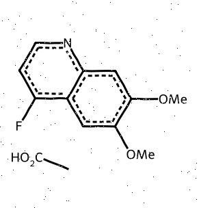 CC(=O)O.COc1cc2nccc(F)c2cc1OC